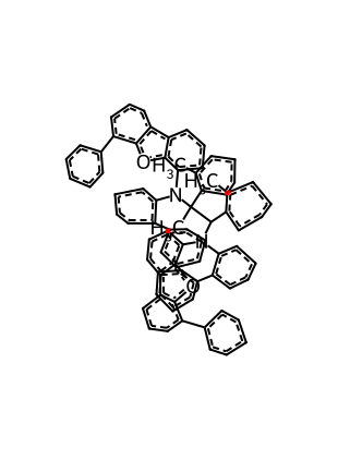 Cc1ccccc1C(N(c1ccccc1-c1ccccc1)c1cccc2c1oc1c(-c3ccccc3)cccc12)C(C)(c1ccccc1C)N(c1ccccc1-c1ccccc1)c1cccc2c1oc1c(-c3ccccc3)cccc12